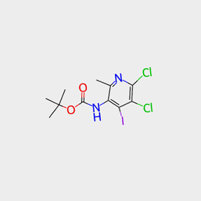 Cc1nc(Cl)c(Cl)c(I)c1NC(=O)OC(C)(C)C